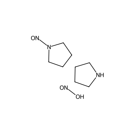 C1CCNC1.O=NN1CCCC1.O=NO